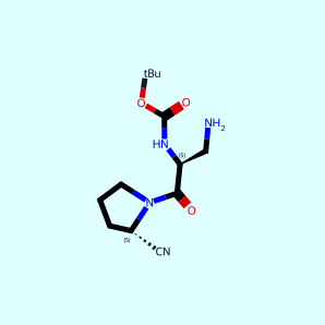 CC(C)(C)OC(=O)N[C@@H](CN)C(=O)N1CCC[C@H]1C#N